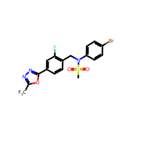 CS(=O)(=O)N(Cc1ccc(-c2nnc(C(F)(F)F)o2)cc1F)c1ccc(Br)cc1